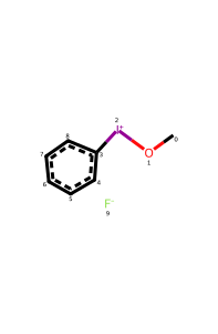 CO[I+]c1ccccc1.[F-]